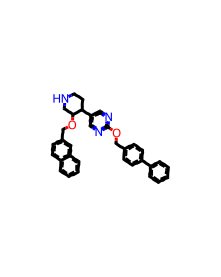 c1ccc(-c2ccc(COc3ncc(C4CCNCC4OCc4ccc5ccccc5c4)cn3)cc2)cc1